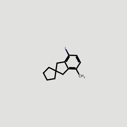 Cc1ccc(I)c2c1CC1(CCCC1)C2